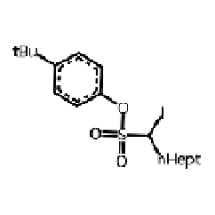 CCCCCCCC(I)S(=O)(=O)Oc1ccc(C(C)(C)C)cc1